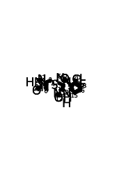 Cn1c(CSc2nonc2/C(=N/O)Nc2ccc(F)c(Cl)c2)n[nH]c1=O